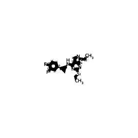 CCSc1nc(N[C@@H]2C[C@H]2c2ccc(F)c(F)c2)c2cnn(CC)c2n1